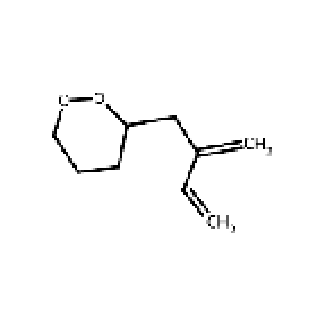 C=CC(=C)CC1CCCOO1